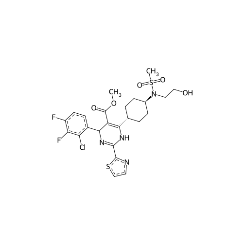 COC(=O)C1=C([C@H]2CC[C@H](N(CCO)S(C)(=O)=O)CC2)NC(c2nccs2)=NC1c1ccc(F)c(F)c1Cl